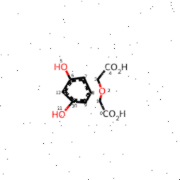 O=C(O)COCC(=O)O.Oc1cccc(O)c1